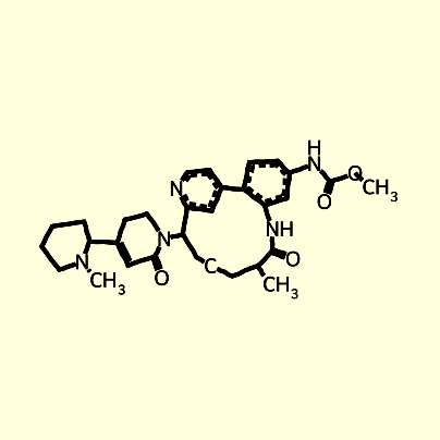 COC(=O)Nc1ccc2c(c1)NC(=O)C(C)CCCC(N1CCC(C3CCCCN3C)=CC1=O)c1cc-2ccn1